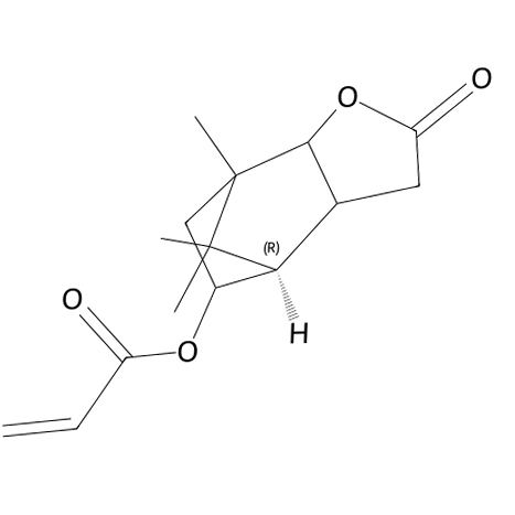 C=CC(=O)OC1CC2(C)C3OC(=O)CC3[C@@H]1C2(C)C